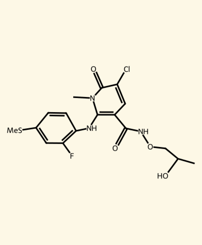 CSc1ccc(Nc2c(C(=O)NOCC(C)O)cc(Cl)c(=O)n2C)c(F)c1